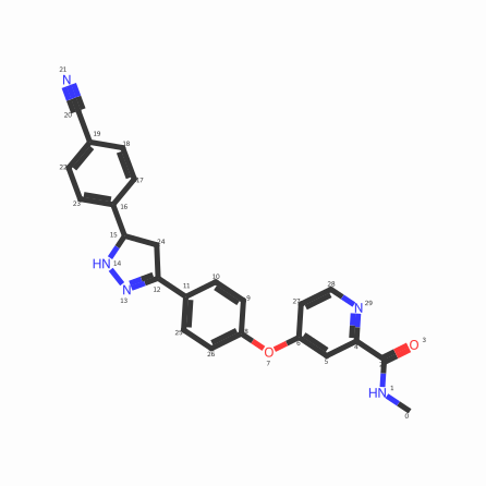 CNC(=O)c1cc(Oc2ccc(C3=NNC(c4ccc(C#N)cc4)C3)cc2)ccn1